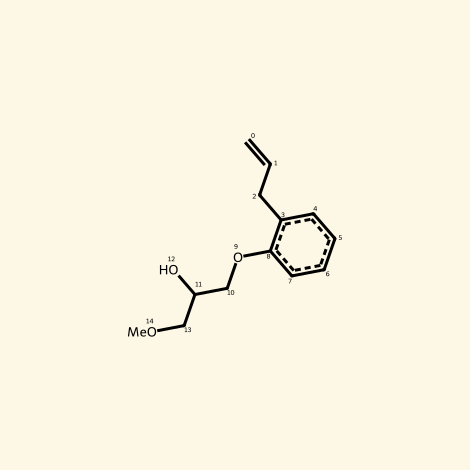 C=CCc1ccccc1OCC(O)COC